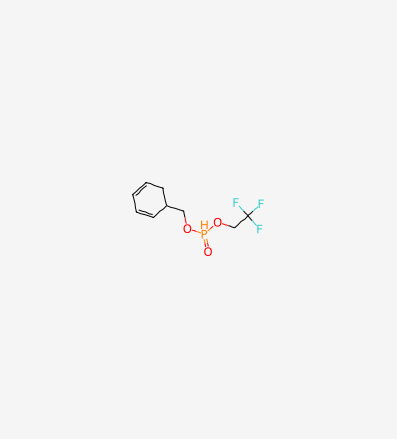 O=[PH](OCC1C=CC=CC1)OCC(F)(F)F